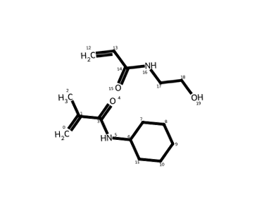 C=C(C)C(=O)NC1CCCCC1.C=CC(=O)NCCO